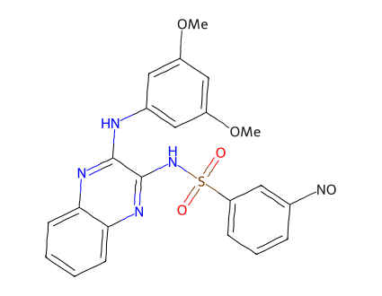 COc1cc(Nc2nc3ccccc3nc2NS(=O)(=O)c2cccc(N=O)c2)cc(OC)c1